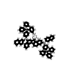 CC1(C)c2cc(N(c3ccc([Si](c4ccccc4)(c4ccccc4)c4ccccc4)cc3)c3ccc4ccccc4c3)c3ccccc3c2-c2ccc3cc(N(c4ccc([Si](c5ccccc5)(c5ccccc5)c5ccccc5)cc4)c4ccc5ccccc5c4)ccc3c21